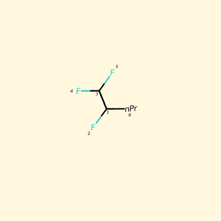 [CH2]CCC(F)C(F)F